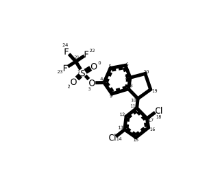 O=S(=O)(Oc1ccc2c(c1)C(c1cc(Cl)ccc1Cl)CC2)C(F)(F)F